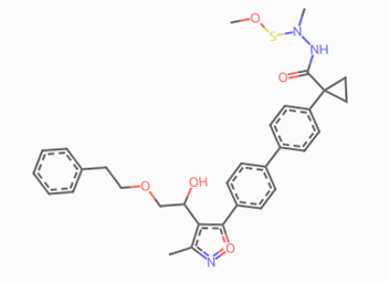 COSN(C)NC(=O)C1(c2ccc(-c3ccc(-c4onc(C)c4C(O)COCCc4ccccc4)cc3)cc2)CC1